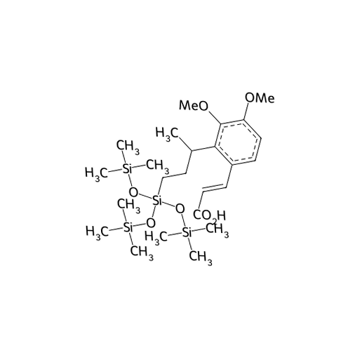 COc1ccc(C=CC(=O)O)c(C(C)CC[Si](O[Si](C)(C)C)(O[Si](C)(C)C)O[Si](C)(C)C)c1OC